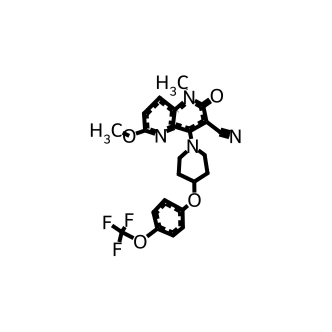 COc1ccc2c(n1)c(N1CCC(Oc3ccc(OC(F)(F)F)cc3)CC1)c(C#N)c(=O)n2C